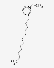 CCCCCCCCCCCCc1ccc[n+](CC)c1